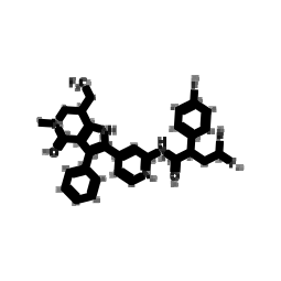 CN1CC(CC(F)(F)F)c2[nH]c(-c3ccnc(NC(=O)C(CC(F)F)c4ccc(F)cc4)c3)c(-c3ccccc3)c2C1=O